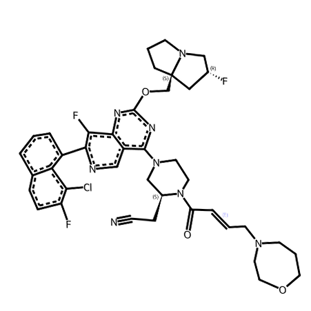 N#CC[C@H]1CN(c2nc(OC[C@@]34CCCN3C[C@H](F)C4)nc3c(F)c(-c4cccc5ccc(F)c(Cl)c45)ncc23)CCN1C(=O)/C=C/CN1CCCOCC1